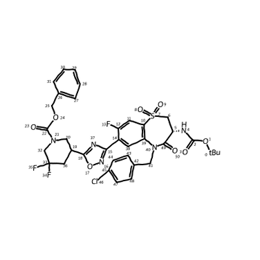 CC(C)(C)OC(=O)N[C@H]1CS(=O)(=O)c2cc(F)c(-c3noc(C4CN(C(=O)OCc5ccccc5)CC(F)(F)C4)n3)cc2N(Cc2ccc(Cl)cc2)C1=O